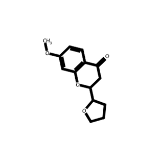 COc1ccc2c(c1)OC(C1CCCO1)CC2=O